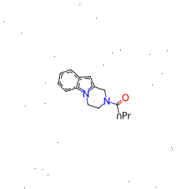 CCCC(=O)N1CCn2c(cc3ccccc32)C1